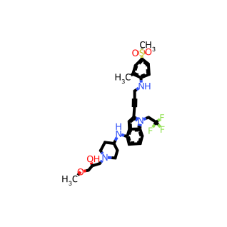 COCC(O)CN1CCC(Nc2cccc3c2cc(C#CCNc2ccc(S(C)(=O)=O)cc2C)n3CC(F)(F)F)CC1